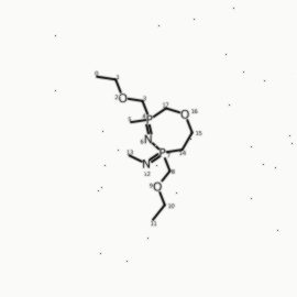 CCOCP1(C)=NP(COCC)(=NC)CCOC1